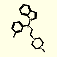 CN1CCN(CC[C@@H](c2cccc(F)c2)n2ccc3ccccc32)CC1